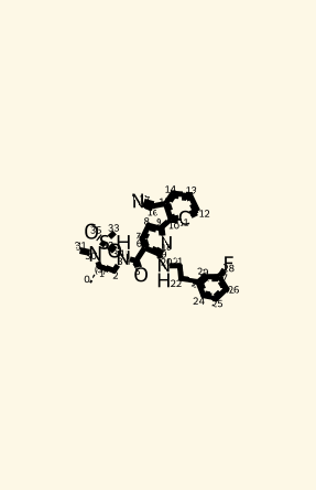 C[C@@H](CNC(=O)c1ccc(-c2ccccc2C#N)nc1NCCc1cccc(F)c1)N(C)S(C)(=O)=O